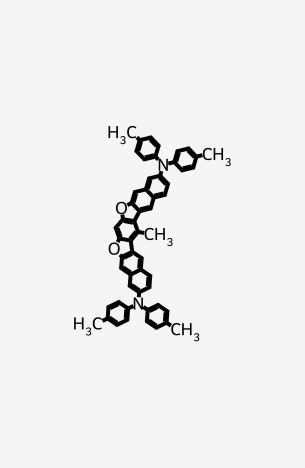 Cc1ccc(N(c2ccc(C)cc2)c2ccc3cc4c(cc3c2)oc2cc3oc5cc6cc(N(c7ccc(C)cc7)c7ccc(C)cc7)ccc6cc5c3c(C)c24)cc1